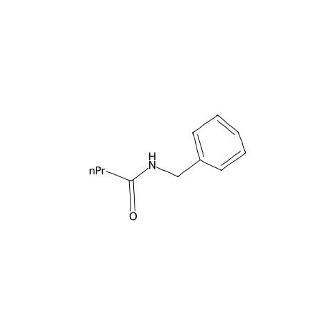 CCCC(=O)NCc1ccccc1